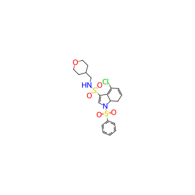 O=S(=O)(NCC1CCOCC1)C1=CN(S(=O)(=O)c2ccccc2)C2CC=CC(Cl)=C12